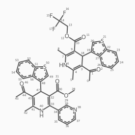 CC(=O)C1=C(C)NC(C)=C(C(=O)OCC(F)(F)F)C1c1csc2ccccc12.COC(=O)C1=C(c2cccnc2)NC(C)=C(C(C)=O)C1c1csc2ccccc12